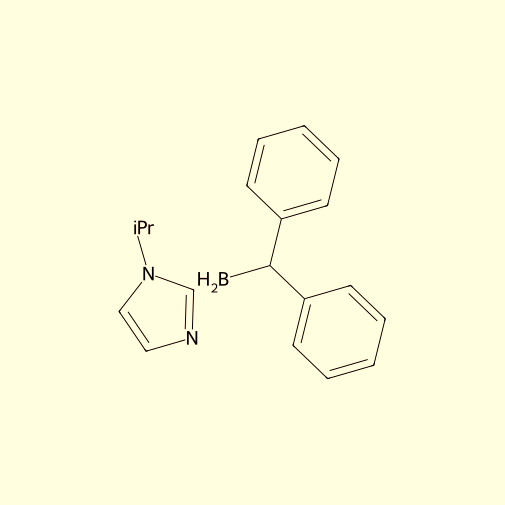 BC(c1ccccc1)c1ccccc1.CC(C)n1ccnc1